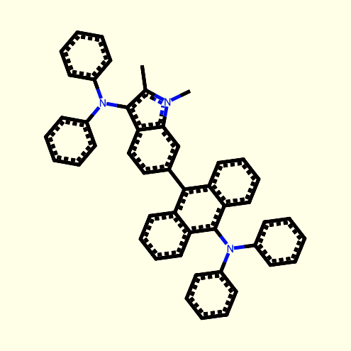 Cc1c(N(c2ccccc2)c2ccccc2)c2ccc(-c3c4ccccc4c(N(c4ccccc4)c4ccccc4)c4ccccc34)cc2n1C